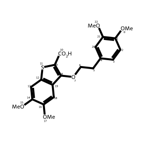 COc1ccc(CCOc2c(C(=O)O)sc3cc(OC)c(OC)cc23)cc1OC